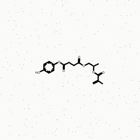 C=C(C)C(=O)OC(C)COC(=O)CCC(=O)Oc1ccc(O)cc1